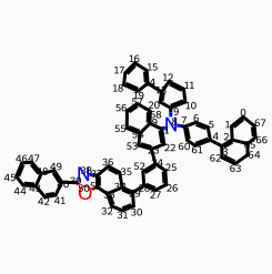 C1=CC2=C(c3ccc(N(c4cccc(-c5ccccc5)c4)c4cc(-c5cccc(-c6cccc7c6ccc6nc(-c8ccc9ccccc9c8)oc67)c5)cc5ccccc45)cc3)C=CCC2C=C1